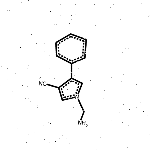 N#Cc1cn(CN)cc1-c1ccccc1